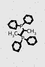 CC(=C(C)P(c1ccccc1)c1ccccc1)P(c1ccccc1)c1ccccc1